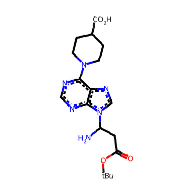 CC(C)(C)OC(=O)CC(N)n1cnc2c(N3CCC(C(=O)O)CC3)ncnc21